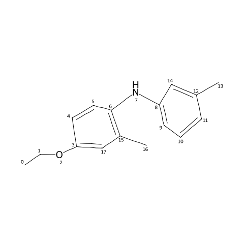 CCOc1ccc(Nc2cccc(C)c2)c(C)c1